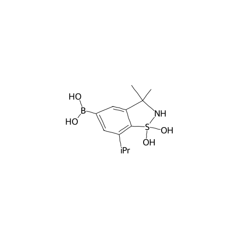 CC(C)c1cc(B(O)O)cc2c1S(O)(O)NC2(C)C